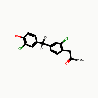 CCC(CC)(c1ccc(O)c(Cl)c1)c1ccc(CC(=O)OC)c(Cl)c1